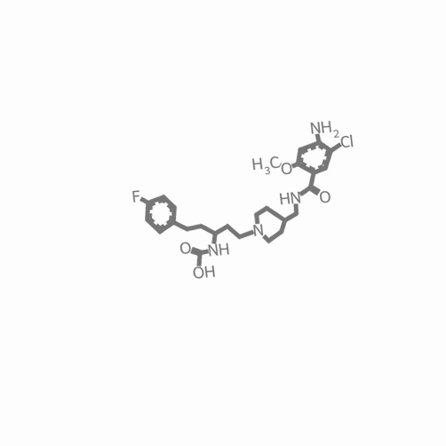 COc1cc(N)c(Cl)cc1C(=O)NCC1CCN(CCC(CCc2ccc(F)cc2)NC(=O)O)CC1